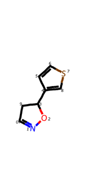 [C]1=NOC(c2ccsc2)C1